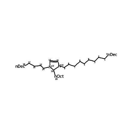 CCCCCCCCCCCCCCCCCCCN1C=CN(CCCCCCCCCCCCCC)C1CCCCCCCC